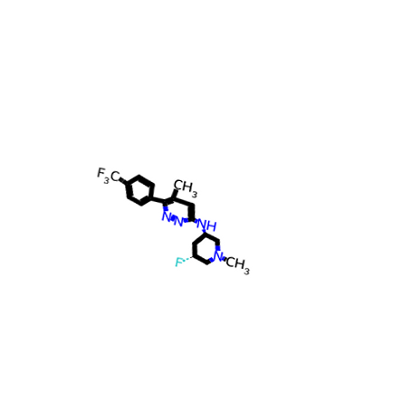 Cc1cc(N[C@@H]2C[C@@H](F)CN(C)C2)nnc1-c1ccc(C(F)(F)F)cc1